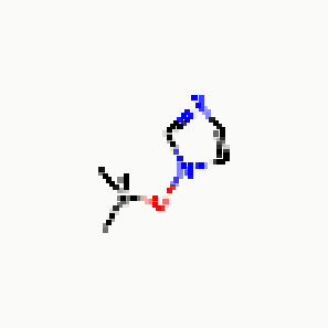 C[SiH](C)On1ccnc1